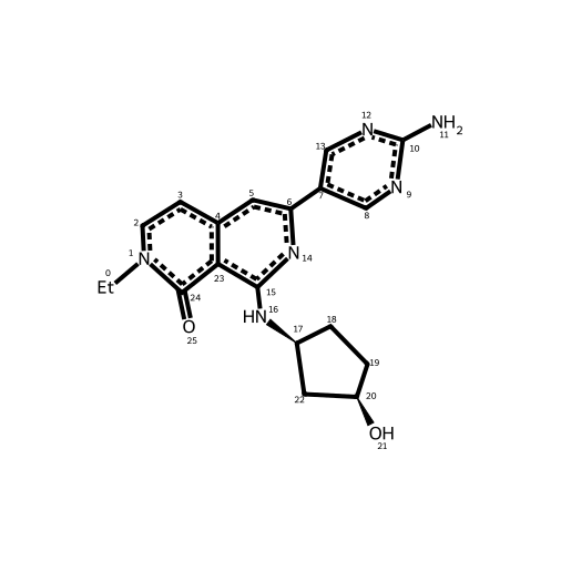 CCn1ccc2cc(-c3cnc(N)nc3)nc(N[C@H]3CC[C@@H](O)C3)c2c1=O